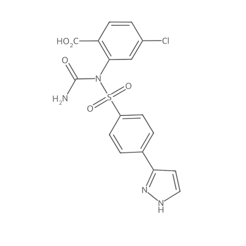 NC(=O)N(c1cc(Cl)ccc1C(=O)O)S(=O)(=O)c1ccc(-c2cc[nH]n2)cc1